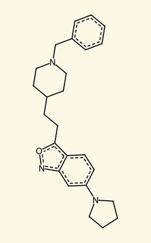 c1ccc(CN2CCC(CCc3onc4cc(N5CCCC5)ccc34)CC2)cc1